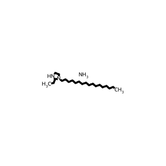 CCCCCCCCCCCCCCCCCN1CCNC1CC.N